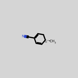 C[C@@H]1C=CC(C#N)=CC1